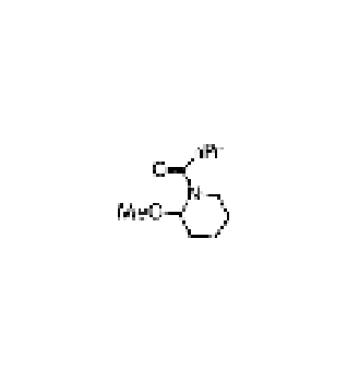 CCCC(=O)N1CCCCC1OC